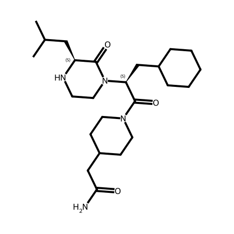 CC(C)C[C@@H]1NCCN([C@@H](CC2CCCCC2)C(=O)N2CCC(CC(N)=O)CC2)C1=O